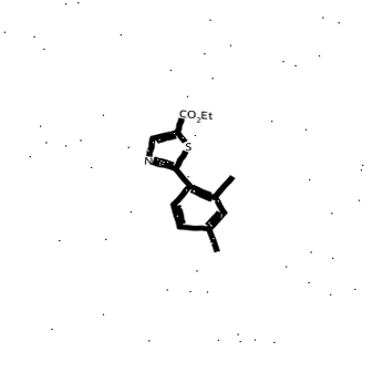 CCOC(=O)c1cnc(-c2ccc(C)cc2C)s1